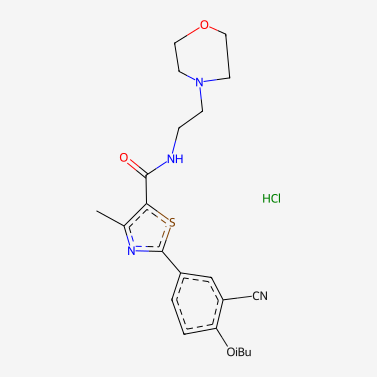 Cc1nc(-c2ccc(OCC(C)C)c(C#N)c2)sc1C(=O)NCCN1CCOCC1.Cl